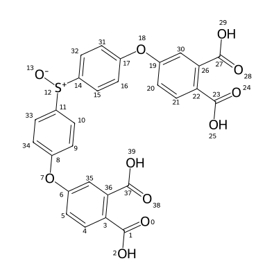 O=C(O)c1ccc(Oc2ccc([S+]([O-])c3ccc(Oc4ccc(C(=O)O)c(C(=O)O)c4)cc3)cc2)cc1C(=O)O